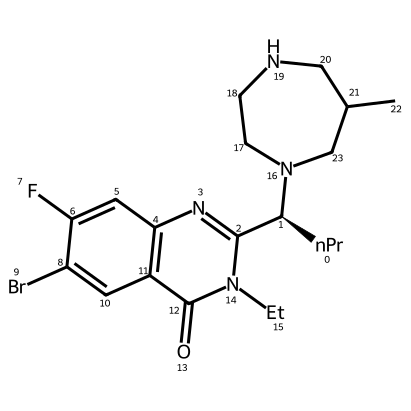 CCC[C@@H](c1nc2cc(F)c(Br)cc2c(=O)n1CC)N1CCNCC(C)C1